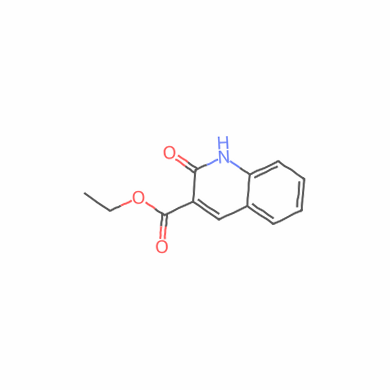 CCOC(=O)c1cc2ccccc2[nH]c1=O